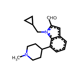 CN1CCC(c2cccc3cc(C=O)n(CC4CC4)c23)CC1